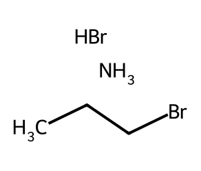 Br.CCCBr.N